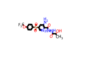 CC(O)C(=O)NNC(=O)c1ncc(S(=O)(=O)c2ccc(OC(F)(F)F)cc2)cc1N